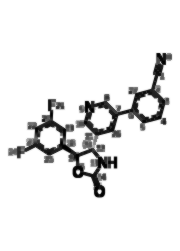 N#Cc1cccc(-c2cncc([C@@H]3NC(=O)O[C@H]3c3cc(F)cc(F)c3)c2)c1